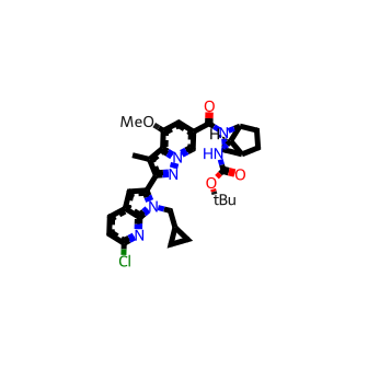 COc1cc(C(=O)N2CC3CCC2[C@@H]3NC(=O)OC(C)(C)C)cn2nc(-c3cc4ccc(Cl)nc4n3CC3CC3)c(C)c12